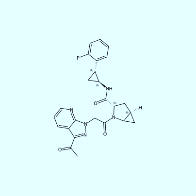 CC(=O)c1nn(CC(=O)N2C3C[C@@H]3C[C@H]2C(=O)N[C@H]2C[C@@H]2c2ccccc2F)c2ncccc12